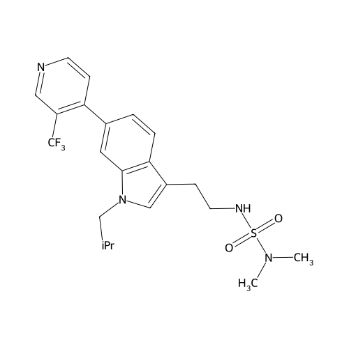 CC(C)Cn1cc(CCNS(=O)(=O)N(C)C)c2ccc(-c3ccncc3C(F)(F)F)cc21